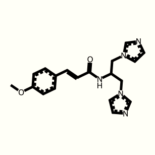 COc1ccc(C=CC(=O)NC(Cn2ccnc2)Cn2ccnc2)cc1